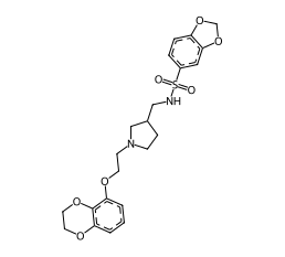 O=S(=O)(NCC1CCN(CCOc2cccc3c2OCCO3)C1)c1ccc2c(c1)OCO2